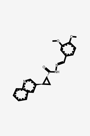 COc1ccc(C=NNC(=O)[C@@H]2C[C@H]2c2cnc3ccccc3c2)cc1OC